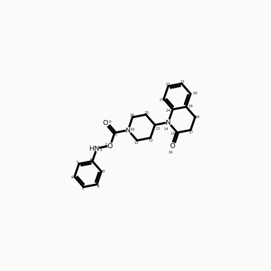 O=C(ONc1ccccc1)N1CCC(N2C(=O)CCc3ccccc32)CC1